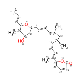 C/C=C/C1OC(C/C=C/C=C(\C)C[C@@H](C)/C=C\C=C(/C)C2CC=CC(=O)O2)C[C@@H](O)[C@@H]1C